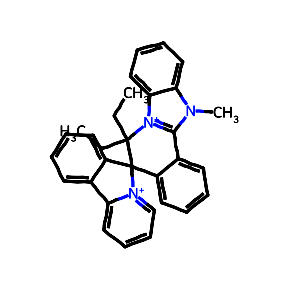 CCC1(CC)[n+]2c(n(C)c3ccccc32)-c2ccccc2C12c1ccccc1-c1cccc[n+]12